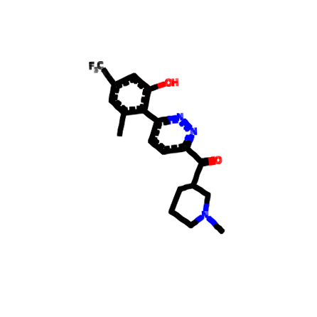 Cc1cc(C(F)(F)F)cc(O)c1-c1ccc(C(=O)C2CCCN(C)C2)nn1